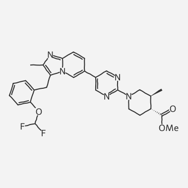 COC(=O)[C@@H]1CCN(c2ncc(-c3ccc4nc(C)c(Cc5ccccc5OC(F)F)n4c3)cn2)C[C@H]1C